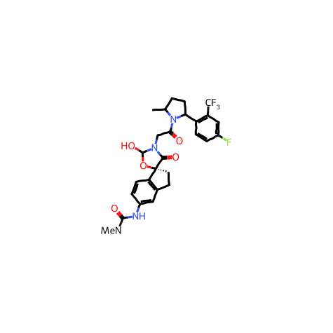 CNC(=O)Nc1ccc2c(c1)CC[C@@]21OC(O)N(CC(=O)N2C(C)CCC2c2ccc(F)cc2C(F)(F)F)C1=O